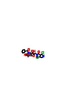 C[C@@]1(CN(O)C(=O)c2ccccc2)CO[C@H](CNC(=O)c2c(Cl)ccnc2Cl)[C@H]1O